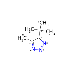 CC1=NN=NC1C(C)(C)C